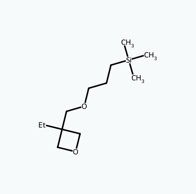 CCC1(COCCC[Si](C)(C)C)COC1